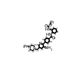 CC(C)OC(=O)Nc1ccccc1NC(=O)c1ccc(-c2ncc(CN3CCN(C(C)C)CC3)cc2N)cc1